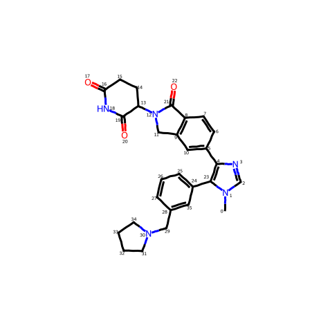 Cn1cnc(-c2ccc3c(c2)CN(C2CCC(=O)NC2=O)C3=O)c1-c1cccc(CN2CCCC2)c1